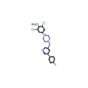 COc1c(Cl)cc(N2CCN(Cc3cncc(-c4ccc(F)cc4)c3)CC2)cc1Cl